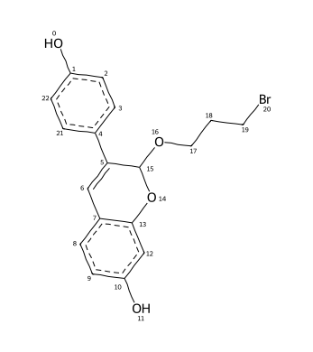 Oc1ccc(C2=Cc3ccc(O)cc3OC2OCCCBr)cc1